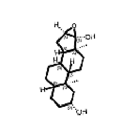 C[C@]12C[C@H](O)CC[C@@H]1CC[C@@H]1[C@@H]2CC[C@@]2(C)[C@H]1C[C@H]1O[C@]12O